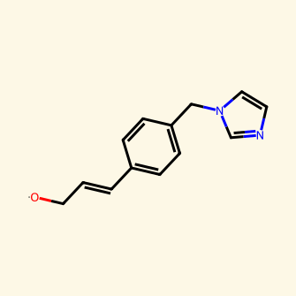 [O]CC=Cc1ccc(Cn2ccnc2)cc1